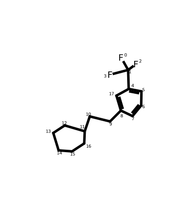 FC(F)(F)c1cccc(CCC2CCCCC2)c1